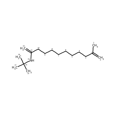 C=C(C)CCCCCCCCC(=C)NC(C)(C)C